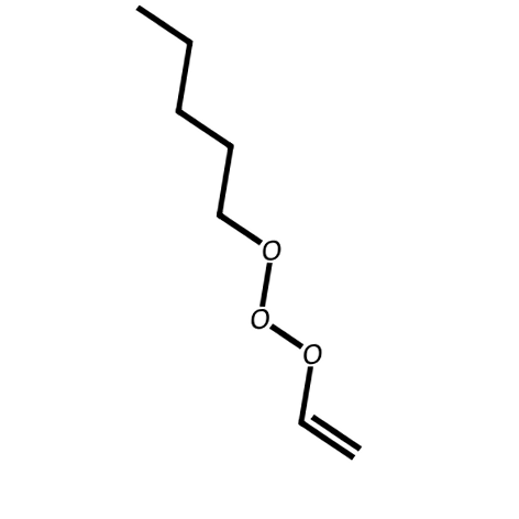 C=COOOCCCCC